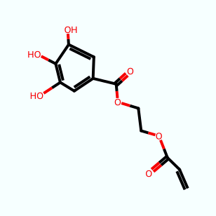 C=CC(=O)OCCOC(=O)c1cc(O)c(O)c(O)c1